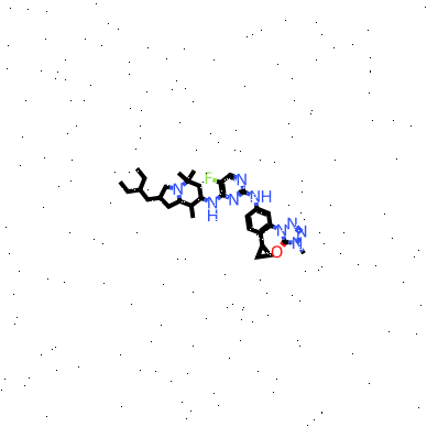 CCC(CC)CC1CC2C(C)C(Nc3nc(Nc4ccc(C5CC5)c(-n5nnn(C)c5=O)c4)ncc3F)CC(C)(C)N2C1